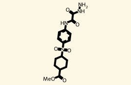 COC(=O)C1CCC(S(=O)(=O)c2ccc(NC(=O)C(=O)NN)cc2)CC1